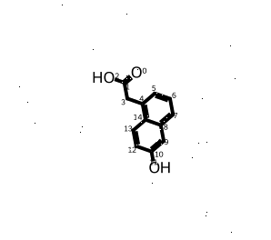 O=C(O)Cc1cccc2cc(O)ccc12